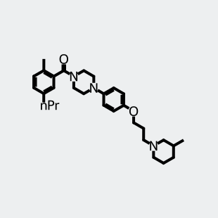 CCCc1ccc(C)c(C(=O)N2CCN(c3ccc(OCCCN4CCCC(C)C4)cc3)CC2)c1